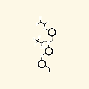 CCc1cccc(Oc2cccc(N(Cc3cccc(OC(F)C(F)F)c3)C[C@@H](O)C(F)(F)F)c2)c1